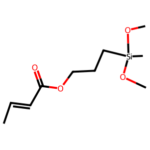 CC=CC(=O)OCCC[Si](C)(OC)OC